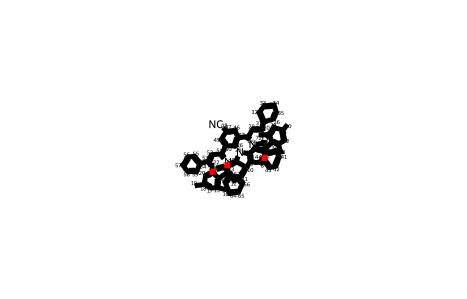 Cc1cc(C)c(-c2ccc3c4ccc(-c5c(C)cc(C)cc5C)cc4n(-c4c(-c5cc(-c6ccccc6)nc(-c6ccccc6)n5)cc(C#N)cc4-c4cc(-c5ccccc5)nc(-c5ccccc5)n4)c3c2)c(C)c1